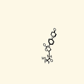 O=C1C=CN(c2ccc(N3CC(CNC(=O)C(F)(F)S)OC3=O)cc2)CC1